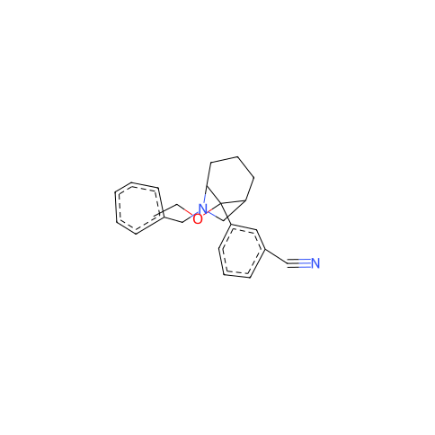 CCOC1(c2cccc(C#N)c2)C2CCCC1N(Cc1ccccc1)C2